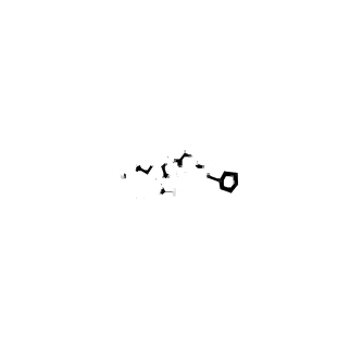 CCC(C)[C@H](NC(=O)[C@H](CCC(=O)OC(C)(C)C)NC(=O)[C@@H](NC(=O)OCc1ccccc1)C(C)C)C(=O)O